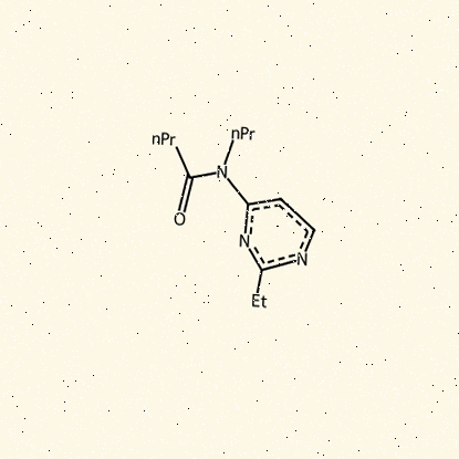 CCCC(=O)N(CCC)c1ccnc(CC)n1